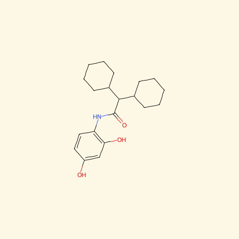 O=C(Nc1ccc(O)cc1O)C(C1CCCCC1)C1CCCCC1